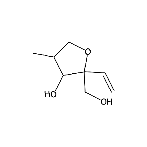 C=CC1(CO)OCC(C)C1O